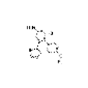 CCOc1ccc(-c2c(Cl)cc(N)cc2-c2nnn[nH]2)cn1